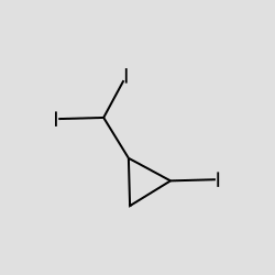 IC(I)C1CC1I